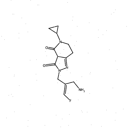 NC/C(=C\F)CN1N=C2CCN(C3CC3)C(=O)C2C1=O